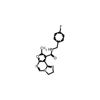 Cc1oc2c(c1C(=O)NCc1ccc(F)cc1)C1=NCCN1C=N2